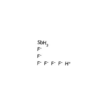 [F-].[F-].[F-].[F-].[F-].[F-].[H+].[SbH3]